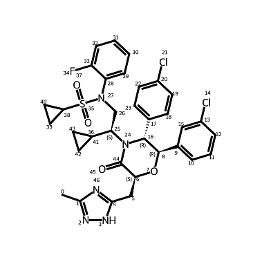 Cc1n[nH]c(C[C@@H]2O[C@H](c3cccc(Cl)c3)[C@@H](c3ccc(Cl)cc3)N([C@H](CN(c3ccccc3F)S(=O)(=O)C3CC3)C3CC3)C2=O)n1